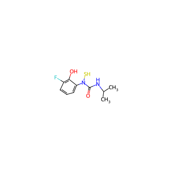 CC(C)NC(=O)N(S)c1cccc(F)c1O